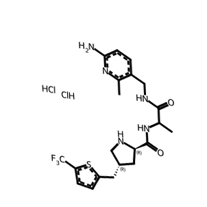 Cc1nc(N)ccc1CNC(=O)C(C)NC(=O)[C@H]1C[C@H](Cc2ccc(C(F)(F)F)s2)CN1.Cl.Cl